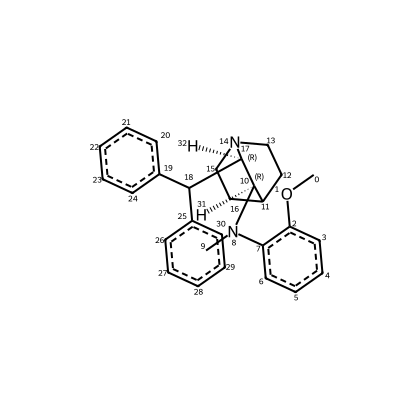 COc1ccccc1N(C)[C@@H]1C2CCN(CC2)[C@@H]1C(c1ccccc1)c1ccccc1